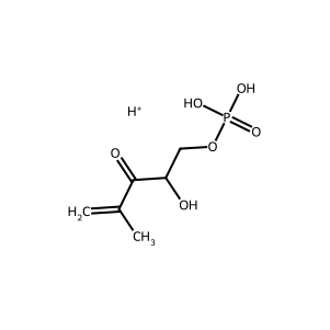 C=C(C)C(=O)C(O)COP(=O)(O)O.[H+]